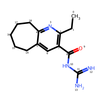 CCc1nc2c(cc1C(=O)NC(=N)N)CCCCC2